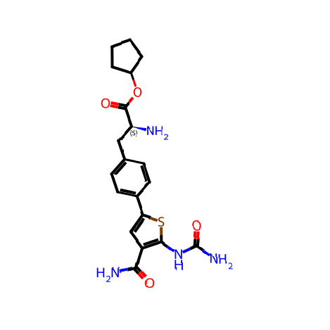 NC(=O)Nc1sc(-c2ccc(C[C@H](N)C(=O)OC3CCCC3)cc2)cc1C(N)=O